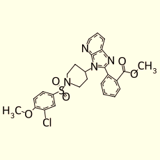 COC(=O)c1ccccc1-c1nc2cccnc2n1C1CCN(S(=O)(=O)c2ccc(OC)c(Cl)c2)CC1